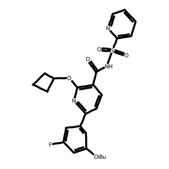 CC(C)COc1cc(F)cc(-c2ccc(C(=O)NS(=O)(=O)c3ccccn3)c(OC3CCC3)n2)c1